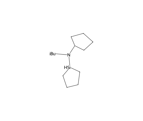 CCC(C)N(C1CCCC1)[SiH]1CCCC1